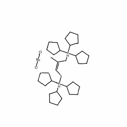 CC(=CC[PH](C1CCCC1)(C1CCCC1)C1CCCC1)C[PH](C1CCCC1)(C1CCCC1)C1CCCC1.[Cl][Ru][Cl]